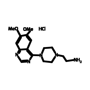 COc1cc2ncnc(N3CCN(CCN)CC3)c2cc1OC.Cl